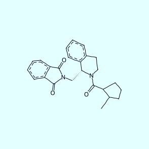 CC1CCCC1C(=O)N1CCc2ccccc2[C@H]1CN1C(=O)c2ccccc2C1=O